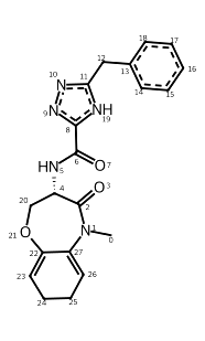 CN1C(=O)[C@@H](NC(=O)c2nnc(Cc3ccccc3)[nH]2)COC2=CCCC=C21